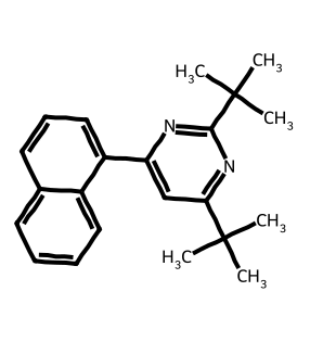 CC(C)(C)c1cc(-c2cccc3ccccc23)nc(C(C)(C)C)n1